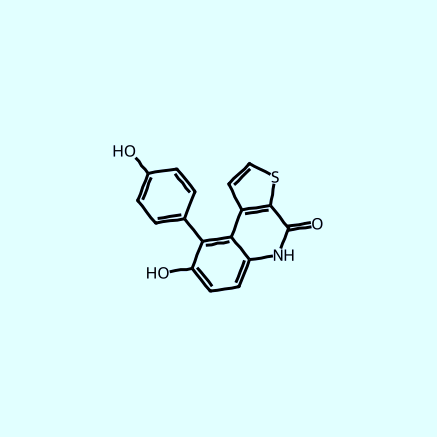 O=c1[nH]c2ccc(O)c(-c3ccc(O)cc3)c2c2ccsc12